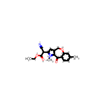 CCOC(=O)C(C#N)c1cc2c(n1C)C(=O)c1ccc(C)cc1OC2